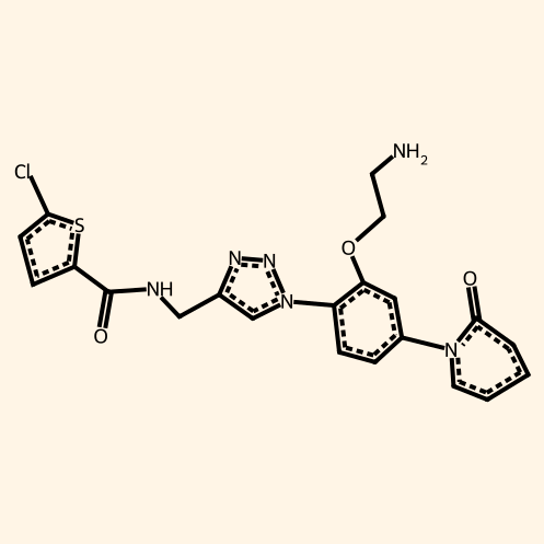 NCCOc1cc(-n2ccccc2=O)ccc1-n1cc(CNC(=O)c2ccc(Cl)s2)nn1